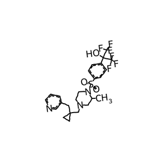 CC1CN(CC2(Cc3cccnc3)CC2)CCN1S(=O)(=O)c1ccc(C(O)(C(F)(F)F)C(F)(F)F)cc1